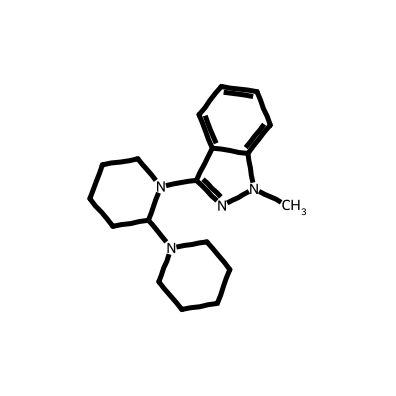 Cn1nc(N2CCCCC2N2CCCCC2)c2ccccc21